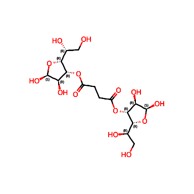 O=C(CCC(=O)O[C@@H]1[C@@H](O)[C@@H](O)O[C@@H]1[C@H](O)CO)O[C@@H]1[C@@H](O)[C@@H](O)O[C@@H]1[C@H](O)CO